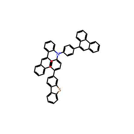 c1ccc(N(c2ccc(-c3ccc4c(c3)sc3ccccc34)cc2)c2ccc(-c3cc4ccccc4c4ccccc34)cc2)c(-c2ccc3ccccc3c2)c1